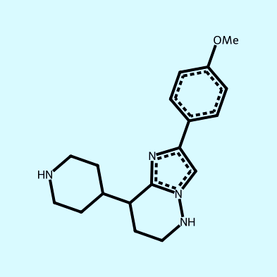 COc1ccc(-c2cn3c(n2)C(C2CCNCC2)CCN3)cc1